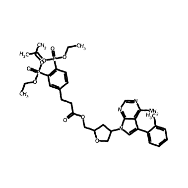 CCOP(=O)(OCC)c1ccc(CCC(=O)OCC2CC(n3cc(-c4ccccc4C)c4c(N)ncnc43)CO2)cc1P(=O)(OCC)OCC